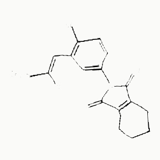 C=C1C2=C(CCCC2)C(=O)N1c1ccc(Cl)c(C=C(Cl)C(=O)OCC)c1